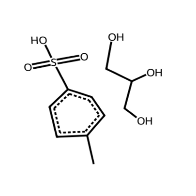 Cc1ccc(S(=O)(=O)O)cc1.OCC(O)CO